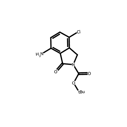 CC(C)(C)OC(=O)N1Cc2c(Cl)ccc(N)c2C1=O